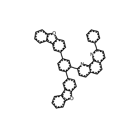 c1ccc(-c2ccc3ccc4ccc(-c5cc(-c6ccc7oc8ccccc8c7c6)ccc5-c5ccc6oc7ccccc7c6c5)nc4c3n2)cc1